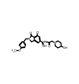 N=C(NC(=O)CN1CCC(O)CC1)c1cc(Cl)c2c(c1)CN(Cc1ccc(OC(F)(F)F)cc1)C2=O